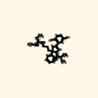 C/N=C(/NC)NCCCC1(c2ccccc2)SC(c2cc(F)ccc2F)=NN1C(=O)N(C)C